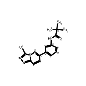 Cc1nnc2ccc(-c3cccc(NC(=O)C(C)(C)C)c3)nn12